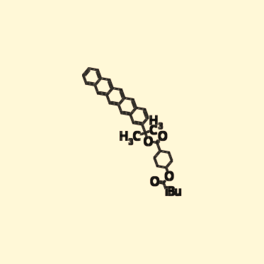 CCC(C)C(=O)OC1CCC(C(=O)OC(C)(C)c2ccc3cc4cc5cc6ccccc6cc5cc4cc3c2)CC1